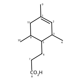 CC1=CC(C)C(CCC(=O)O)C(C)C1